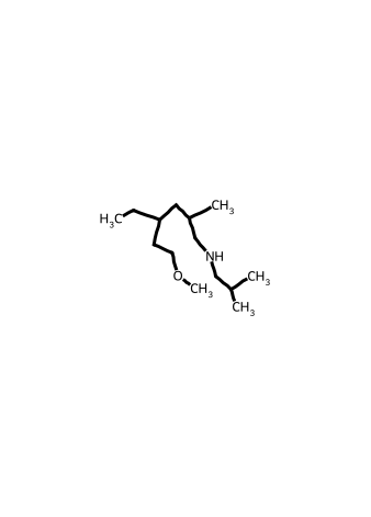 CCC(CCOC)CC(C)CNCC(C)C